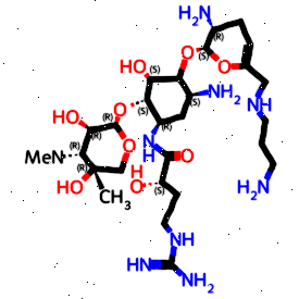 CN[C@@H]1[C@@H](O)[C@@H](O[C@H]2[C@H](NC(=O)[C@@H](O)CCNC(=N)N)C[C@H](N)C(O[C@H]3OC(CNCCCN)=CC[C@H]3N)[C@@H]2O)OC[C@]1(C)O